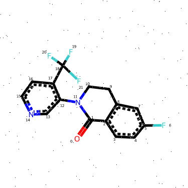 O=C1c2ccc(F)cc2CCN1c1cnccc1C(F)(F)F